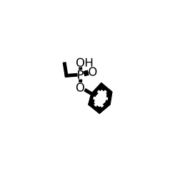 CCP(=O)(O)Oc1ccccc1